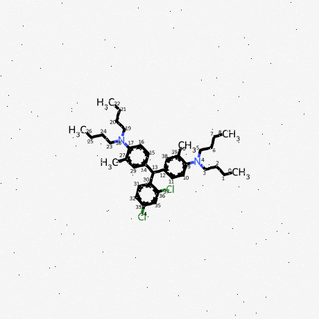 CCCCN(CCCC)c1ccc(C(c2ccc(N(CCCC)CCCC)c(C)c2)c2ccc(Cl)cc2Cl)cc1C